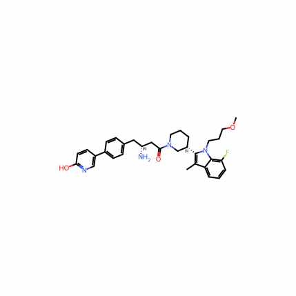 COCCCn1c([C@H]2CCCN(C(=O)C[C@H](N)Cc3ccc(-c4ccc(O)nc4)cc3)C2)c(C)c2cccc(F)c21